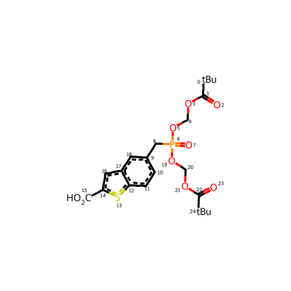 CC(C)(C)C(=O)OCOP(=O)(Cc1ccc2sc(C(=O)O)cc2c1)OCOC(=O)C(C)(C)C